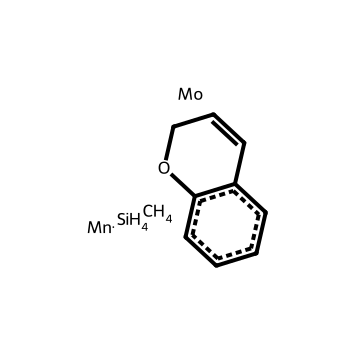 C.C1=Cc2ccccc2OC1.[Mn].[Mo].[SiH4]